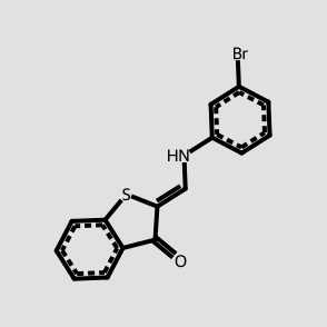 O=C1C(=CNc2cccc(Br)c2)Sc2ccccc21